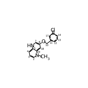 CN1C=CC=C2NC=C(OCc3cccc(Cl)c3)C=C21